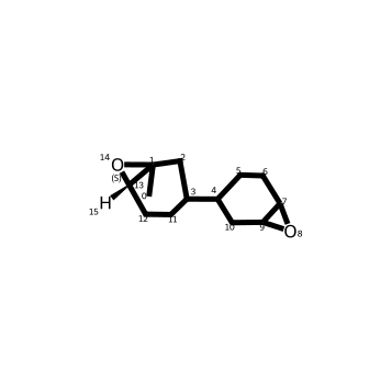 CC12CC(C3CCC4OC4C3)CC[C@@H]1O2